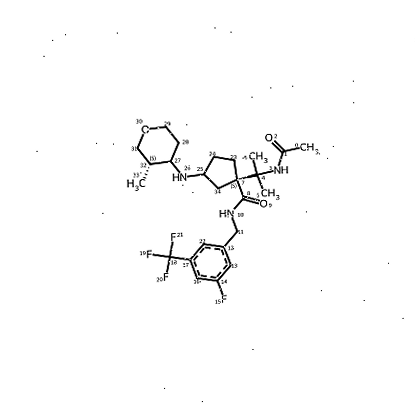 CC(=O)NC(C)(C)[C@]1(C(=O)NCc2cc(F)cc(C(F)(F)F)c2)CCC(NC2CCOC[C@H]2C)C1